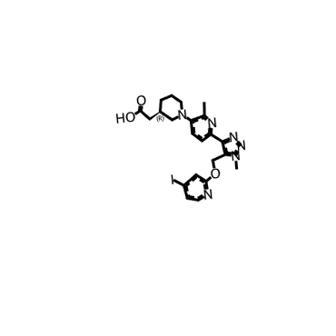 Cc1nc(-c2nnn(C)c2COc2cc(I)ccn2)ccc1N1CCC[C@H](CC(=O)O)C1